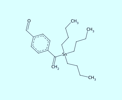 C=[C](c1ccc(C=O)cc1)[Sn]([CH2]CCC)([CH2]CCC)[CH2]CCC